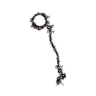 CO[C@H]1C[C@@H]2CC[C@@H](C)[C@@](O)(O2)C(=O)C(=O)N2CCCC[C@H]2C(=O)O[C@H]([C@H](C)C[C@@H]2CC[C@@H](OC(=O)NCCOCCOCCOCCOCCOCCOCCOCCOCCC(=O)NCc3ccc(Cn4nc(-c5ccc6oc(N)nc6c5)c5c(N)ncnc54)cc3)[C@H](OC)C2)CC(=O)[C@H](C)/C=C(\C)[C@@H](O)[C@@H](OC)C(=O)[C@H](C)C[C@H](C)/C=C/C=C/C=C/1C